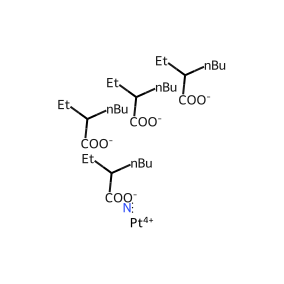 CCCCC(CC)C(=O)[O-].CCCCC(CC)C(=O)[O-].CCCCC(CC)C(=O)[O-].CCCCC(CC)C(=O)[O-].[N].[Pt+4]